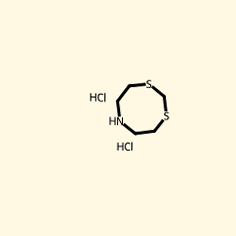 C1CSCSCCN1.Cl.Cl